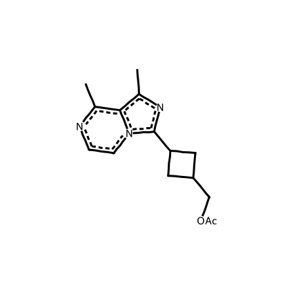 CC(=O)OCC1CC(c2nc(C)c3c(C)nccn23)C1